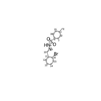 Cc1ccc(S(=O)(=O)NN=Cc2ccccc2Br)cc1